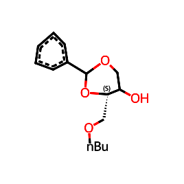 CCCCOC[C@@H]1OC(c2ccccc2)OCC1O